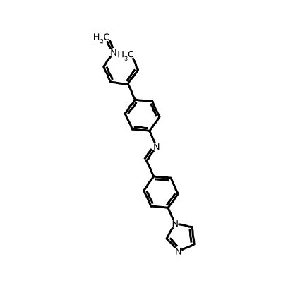 C=N/C=C\C(=C/C)c1ccc(/N=C/c2ccc(-n3ccnc3)cc2)cc1